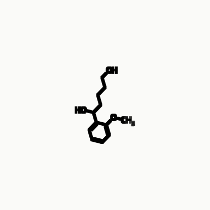 COc1ccccc1C(O)CCCCO